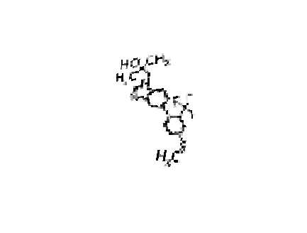 CSc1ccc(-c2ccc3c(c2)ncn3CC(C)(C)O)c(C(F)(F)F)c1